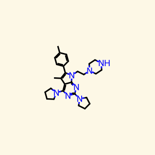 Cc1ccc(-c2c(C)c3c(N4CCCC4)nc(N4CCCC4)nc3n2CCN2CCNCC2)cc1